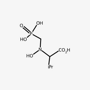 CC(C)C(C(=O)O)N(O)CP(=O)(O)O